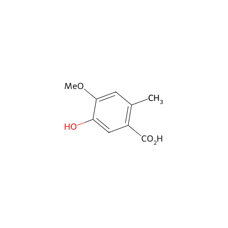 COc1cc(C)c(C(=O)O)cc1O